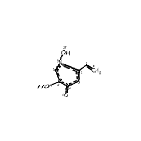 C=Cc1cc(=O)c(O)cn1O